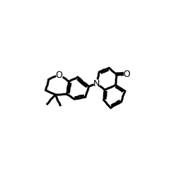 CC1(C)CCOc2cc(-n3ccc(=O)c4ccccc43)ccc21